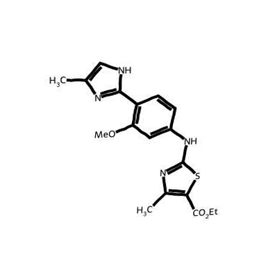 CCOC(=O)c1sc(Nc2ccc(-c3nc(C)c[nH]3)c(OC)c2)nc1C